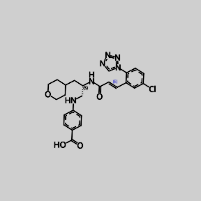 O=C(/C=C/c1cc(Cl)ccc1-n1cnnn1)N[C@H](CNc1ccc(C(=O)O)cc1)CC1CCOCC1